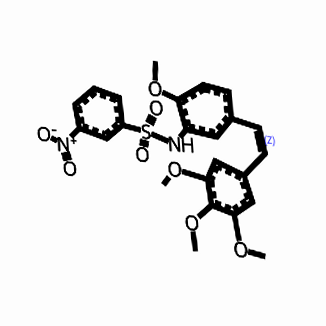 COc1ccc(/C=C\c2cc(OC)c(OC)c(OC)c2)cc1NS(=O)(=O)c1cccc([N+](=O)[O-])c1